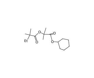 CCC(C)(C)C(=O)OC(C)(C)C(=O)OC1CCCCC1